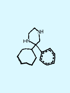 c1ccc(C2(C3CCCCC3)CNCCN2)cc1